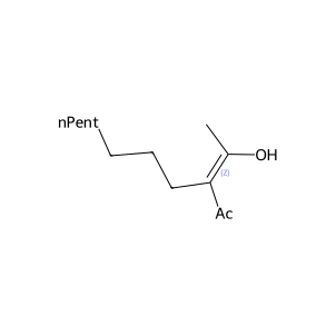 CCCCCCCC/C(C(C)=O)=C(\C)O